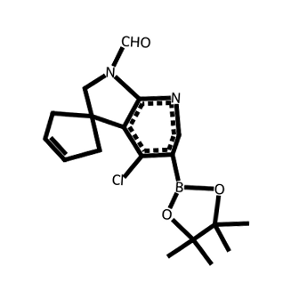 CC1(C)OB(c2cnc3c(c2Cl)C2(CC=CC2)CN3C=O)OC1(C)C